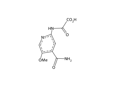 COc1cnc(NC(=O)C(=O)O)cc1C(N)=O